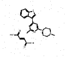 Cc1cc(-c2csc3ccccc23)cc(N2CCN(C)CC2)n1.O=C(O)C=CC(=O)O